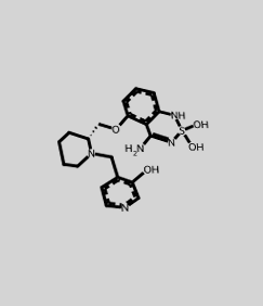 NC1=NS(O)(O)Nc2cccc(OC[C@H]3CCCCN3Cc3ccncc3O)c21